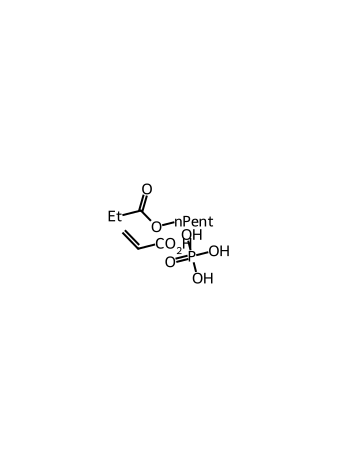 C=CC(=O)O.CCCCCOC(=O)CC.O=P(O)(O)O